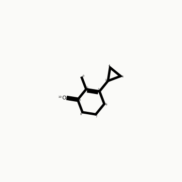 CC1=C(C2CC2)CCCC1=O